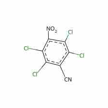 N#Cc1c(Cl)c(Cl)c([N+](=O)[O-])c(Cl)c1Cl